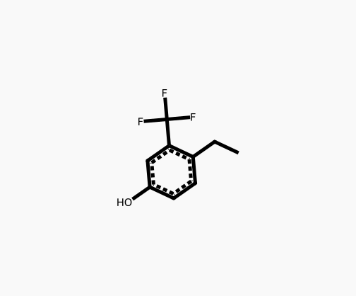 CCc1ccc(O)cc1C(F)(F)F